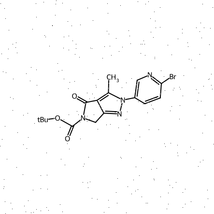 Cc1c2c(nn1-c1ccc(Br)nc1)CN(C(=O)OC(C)(C)C)C2=O